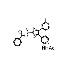 CC(=O)Nc1cc(-c2sc(C(C)OC(=O)c3ccccc3)nc2-c2cccc(C)c2)ccn1